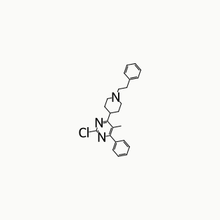 Cc1c(-c2ccccc2)nc(Cl)nc1C1CCN(CCc2ccccc2)CC1